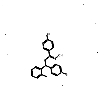 Cc1ccccc1C(CC(=NO)c1ccc(O)cc1)c1ccc(Br)cc1